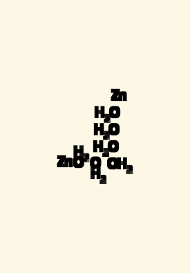 O.O.O.O.O.O.[Zn].[Zn]